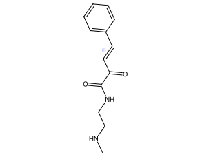 CNCCNC(=O)C(=O)/C=C/c1ccccc1